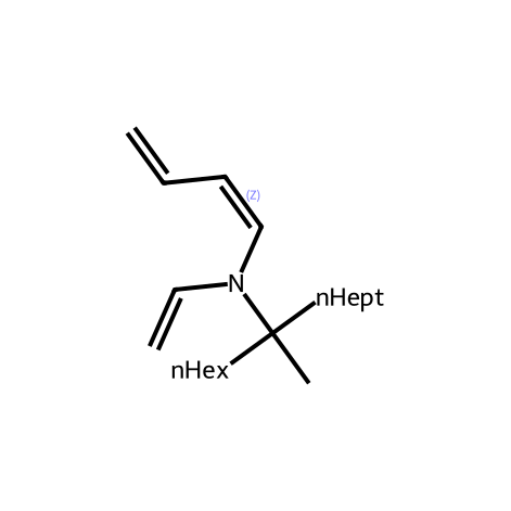 C=C/C=C\N(C=C)C(C)(CCCCCC)CCCCCCC